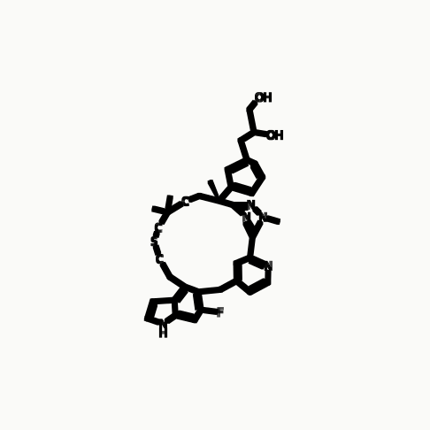 Cn1nc2nc1-c1cc(ccn1)Cc1c(F)cc3[nH]ccc3c1CCSCC(C)(C)CC[C@]2(C)c1cccc(CC(O)CO)c1